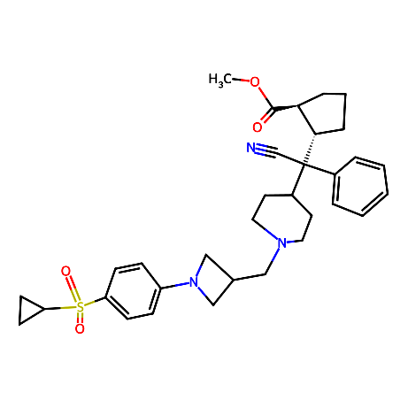 COC(=O)[C@H]1CCC[C@@H]1C(C#N)(c1ccccc1)C1CCN(CC2CN(c3ccc(S(=O)(=O)C4CC4)cc3)C2)CC1